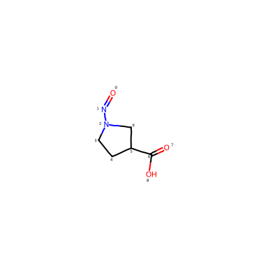 O=NN1CCC(C(=O)O)C1